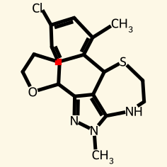 Cc1cc(Cl)ccc1C1SCCNc2c1c(C1CCCO1)nn2C